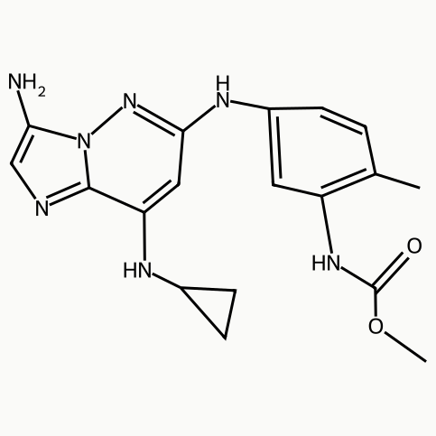 COC(=O)Nc1cc(Nc2cc(NC3CC3)c3ncc(N)n3n2)ccc1C